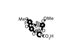 COCOc1ccc(C(=O)N[C@@H]2CN(C(=O)O)CCC[C@H]2OC(=O)c2ccc(C(=O)c3c(OCOC)ccc(OC)c3F)cc2)cc1Br